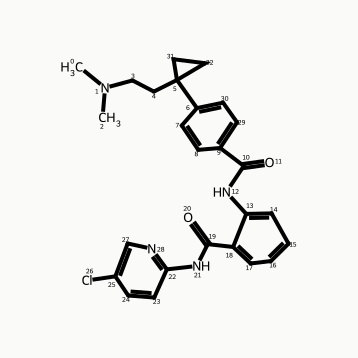 CN(C)CCC1(c2ccc(C(=O)Nc3ccccc3C(=O)Nc3ccc(Cl)cn3)cc2)CC1